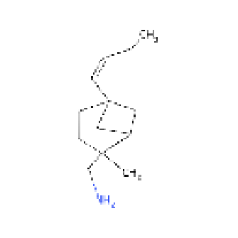 CC/C=C\C12C=CC(C)(CN)C(C1)C2